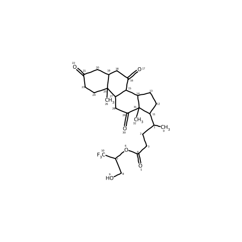 CC(CCC(=O)OC(CO)C(F)(F)F)C1CCC2C3C(=O)CC4CC(=O)CCC4(C)C3CC(=O)C12C